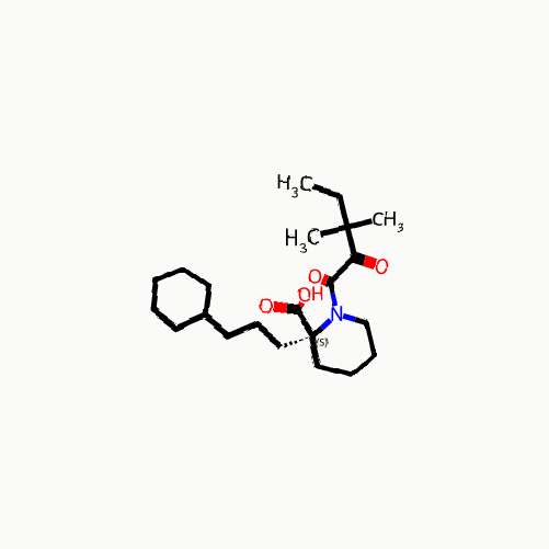 CCC(C)(C)C(=O)C(=O)N1CCCC[C@@]1(CCCC1CCCCC1)C(=O)O